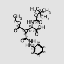 CCOC(=O)C1C(C(=O)NNc2ccccc2)C1C(NC(=O)OC(C)(C)C)C(=O)O